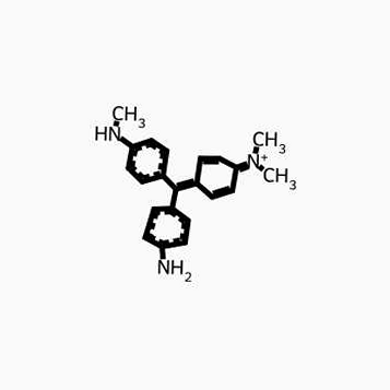 CNc1ccc(C(=C2C=CC(=[N+](C)C)C=C2)c2ccc(N)cc2)cc1